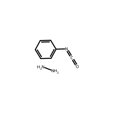 NN.O=C=Nc1ccccc1